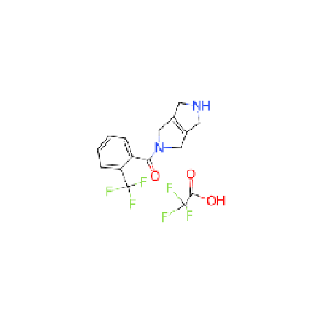 O=C(O)C(F)(F)F.O=C(c1ccccc1C(F)(F)F)N1CC2=C(CNC2)C1